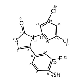 O=c1scc(-c2ccc(S)c(F)c2)n1-c1cc(Cl)cc(Cl)c1